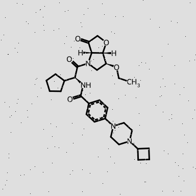 CCO[C@H]1CN(C(=O)[C@@H](NC(=O)c2ccc(N3CCN(C4CCC4)CC3)cc2)C2CCCC2)[C@@H]2C(=O)CO[C@H]12